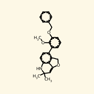 COc1c(OCc2ccccc2)cccc1-c1ccc2c3c1COC3=CC(C)(C)N2